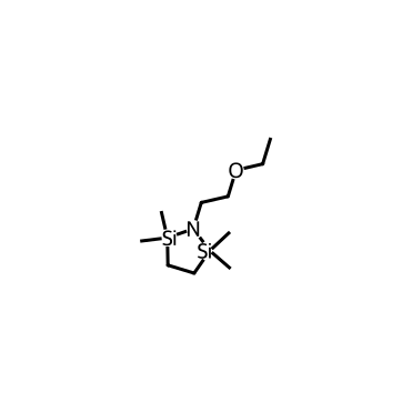 CCOCCN1[Si](C)(C)CC[Si]1(C)C